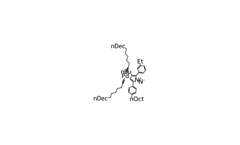 CCCCCCCCCCCCCCCC#[C][Pd][C]#CCCCCCCCCCCCCCCC.CCCCCCCCc1ccc(C2=CC(CCCC)=C(c3cccc(CC)c3)[N+]2=[N-])cc1